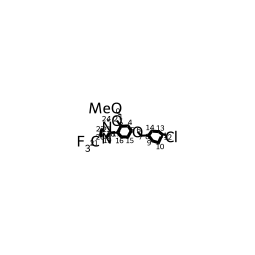 COCOc1cc(OCc2ccc(Cl)cc2)ccc1-c1nc(C(F)(F)F)cn1C